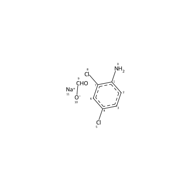 Nc1ccc(Cl)cc1Cl.O=C[O-].[Na+]